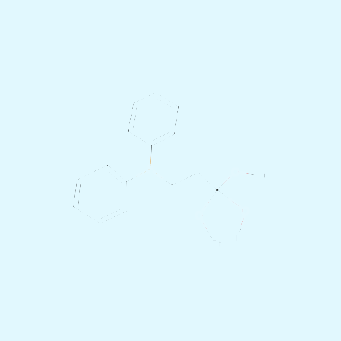 CCOC(CCP(c1ccccc1)c1ccccc1)(OCC)OCC